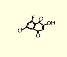 O=C1C=C(O)C(=O)c2c(F)cc(Cl)cc21